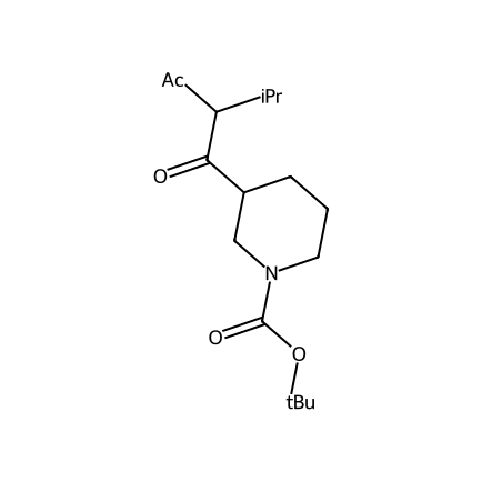 CC(=O)C(C(=O)C1CCCN(C(=O)OC(C)(C)C)C1)C(C)C